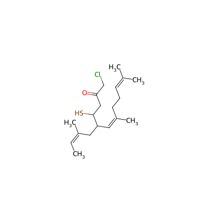 CC=C(C)CC(C=C(C)CCC=C(C)C)C(S)CC(=O)CCl